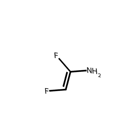 NC(F)=CF